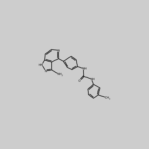 Cc1cccc(NC(=O)Nc2ccc(-c3nccc4[nH]nc(N)c34)cc2)c1